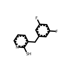 Fc1cc(F)cc(Cc2cccnc2S)c1